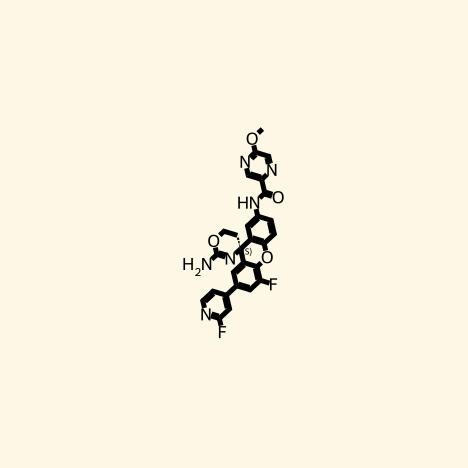 COc1cnc(C(=O)Nc2ccc3c(c2)[C@@]2(CCOC(N)=N2)c2cc(-c4ccnc(F)c4)cc(F)c2O3)cn1